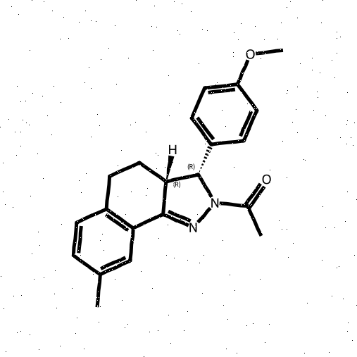 COc1ccc([C@H]2[C@H]3CCc4ccc(C)cc4C3=NN2C(C)=O)cc1